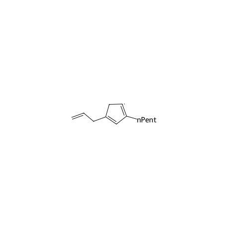 C=CCC1=CC(CCCCC)=[C]C1